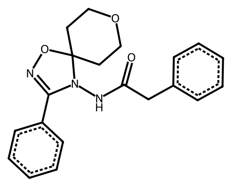 O=C(Cc1ccccc1)NN1C(c2ccccc2)=NOC12CCOCC2